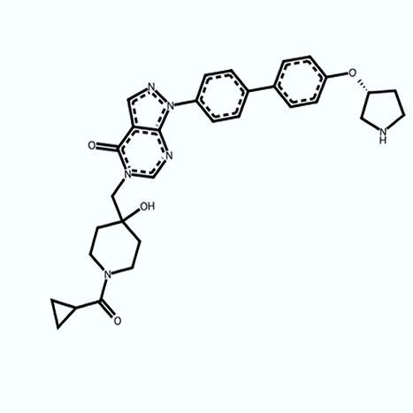 O=C(C1CC1)N1CCC(O)(Cn2cnc3c(cnn3-c3ccc(-c4ccc(O[C@@H]5CCNC5)cc4)cc3)c2=O)CC1